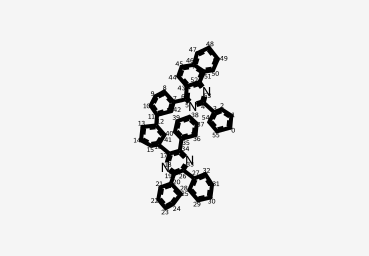 c1ccc(-c2nc(-c3cccc(-c4cccc(-c5nc(-c6ccccc6)c(-c6ccccc6)nc5-c5ccccc5)c4)c3)c3ccc4ccccc4c3n2)cc1